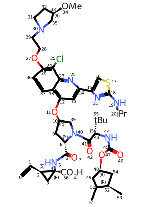 C=C[C@@H]1C[C@]1(NC(=O)[C@@H]1C[C@@H](Oc2cc(-c3csc(NC(C)C)n3)nc3c(Cl)c(OCCN4CC[C@@H](OC)C4)ccc23)CN1C(=O)[C@@H](NC(=O)O[C@@H]1CC(C)[C@H](C)C1)C(C)(C)C)C(=O)O